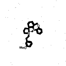 COc1cccc(CCN2CCCC[C@@H]2CN2c3ccccc3COc3ccccc32)c1